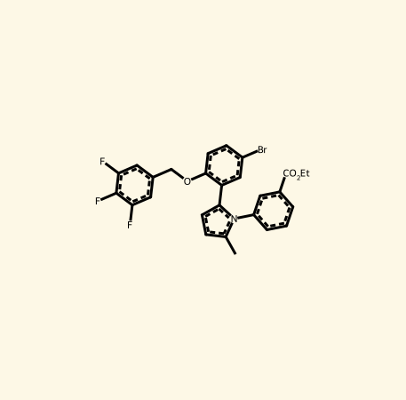 CCOC(=O)c1cccc(-n2c(C)ccc2-c2cc(Br)ccc2OCc2cc(F)c(F)c(F)c2)c1